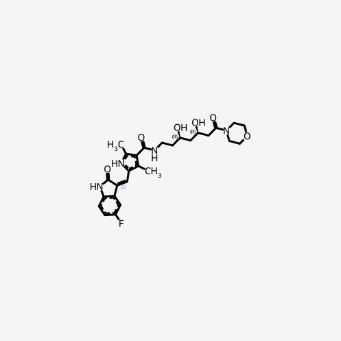 Cc1[nH]c(/C=C2\C(=O)Nc3ccc(F)cc32)c(C)c1C(=O)NCC[C@@H](O)C[C@@H](O)CC(=O)N1CCOCC1